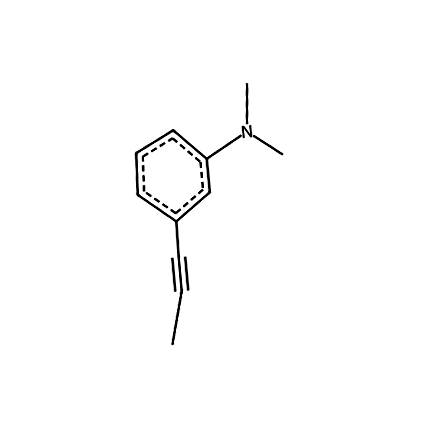 CC#Cc1cccc(N(C)C)c1